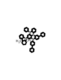 CC12CCCCC1(C)N(c1cc3c4c(c1)N(c1ccc(-c5ccccc5)cc1)c1ccc(-c5ccccc5)cc1B4c1ccccc1N3c1ccccc1)c1ccccc12